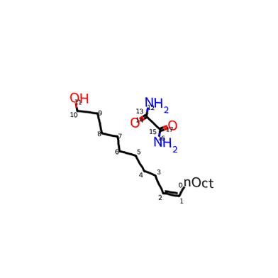 CCCCCCCC/C=C\CCCCCCCCO.NC(=O)C(N)=O